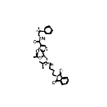 CC(=O)O[C@H](C[C@@H](NCCCN1C(=O)c2ccccc2C1=O)C(C)C)c1nc(C(=O)NC[C@@H](C)c2ccccc2)cs1